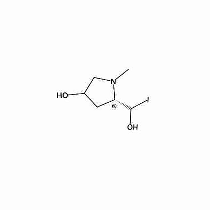 CN1CC(O)C[C@H]1C(O)I